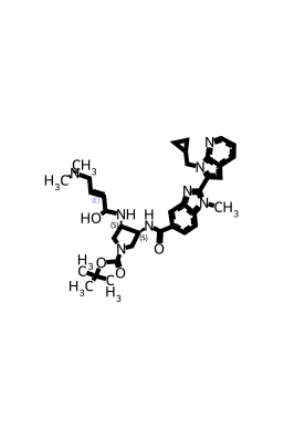 CN(C)C/C=C/C(O)N[C@H]1CN(C(=O)OC(C)(C)C)C[C@@H]1NC(=O)c1ccc2c(c1)nc(-c1cc3cccnc3n1CC1CC1)n2C